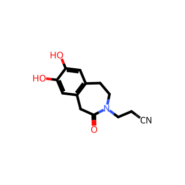 N#CCCN1CCc2cc(O)c(O)cc2CC1=O